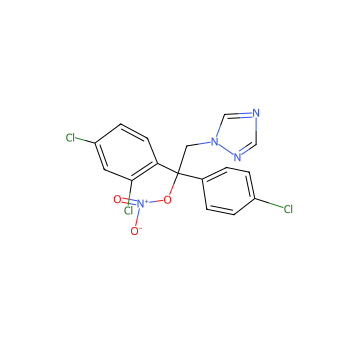 O=[N+]([O-])OC(Cn1cncn1)(c1ccc(Cl)cc1)c1ccc(Cl)cc1Cl